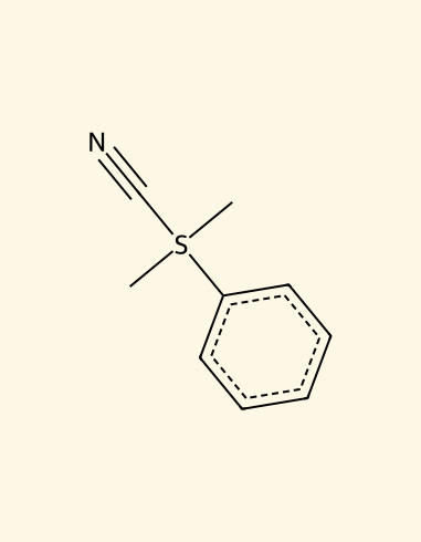 CS(C)(C#N)c1ccccc1